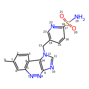 Cc1ccc2c(c1)nnc1ncn(Cc3ccc(S(N)(=O)=O)nc3)c12